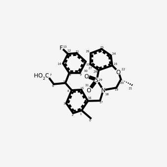 Cc1ccc(C(CC(=O)O)c2cccc(F)c2)cc1CN1C[C@@H](C)Oc2ccccc2S1(=O)=O